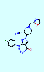 N#C[C@@H]1CN(Cc2ncco2)CCC1n1cc(C(N)=O)c(Nc2ccc(F)cc2)n1